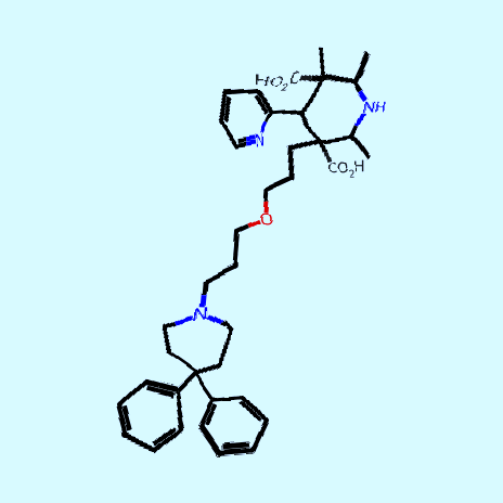 CC1NC(C)C(CCCOCCCN2CCC(c3ccccc3)(c3ccccc3)CC2)(C(=O)O)C(c2ccccn2)C1(C)C(=O)O